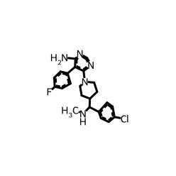 CNC(c1ccc(Cl)cc1)C1CCN(c2ncnc(N)c2-c2ccc(F)cc2)CC1